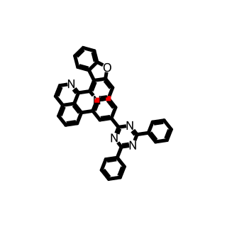 c1ccc(-c2nc(-c3ccccc3)nc(-c3cccc(-c4cccc5ccnc(-c6nccc7oc8ccccc8c67)c45)c3)n2)cc1